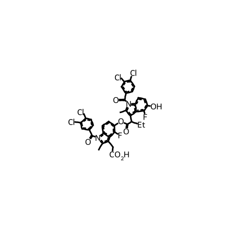 CCC(C(=O)Oc1ccc2c(c1F)c(CC(=O)O)c(C)n2C(=O)c1ccc(Cl)c(Cl)c1)c1c(C)n(C(=O)c2ccc(Cl)c(Cl)c2)c2ccc(O)c(F)c12